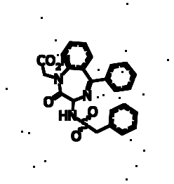 O=C(O)CN1C(=O)C(NS(=O)(=O)Cc2ccccc2)N=C(c2ccccc2)c2ccccc21